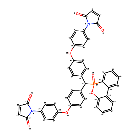 O=C1C=CC(=O)N1c1ccc(Oc2ccc(C(c3ccc(Oc4ccc(N5C(=O)C=CC5=O)cc4)cc3)P3(=O)Oc4ccccc4-c4ccccc43)cc2)cc1